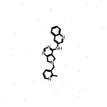 Cc1ncccc1CN1Cc2ncnc(Nc3cnc4ccccc4c3)c2C1